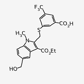 CCOC(=O)c1c(CSc2cc(C(=O)O)cc(C(F)(F)F)c2)n(C)c2ccc(CO)cc12